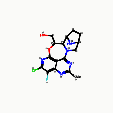 CSc1nc2c3c(nc(Cl)c(F)c3n1)OC(CO)C1C3CCC(CN21)N3